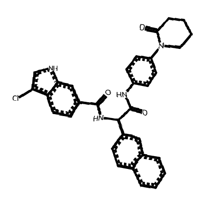 O=C(NC(C(=O)Nc1ccc(N2CCCCC2=O)cc1)c1ccc2ccccc2c1)c1ccc2c(Cl)c[nH]c2c1